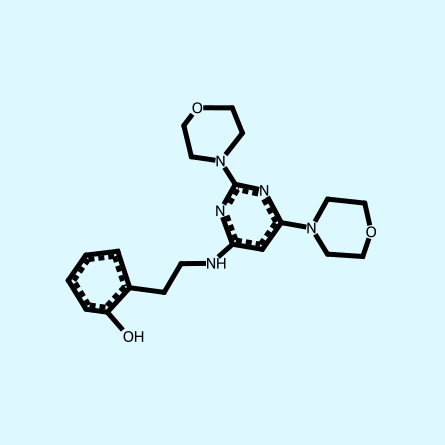 Oc1ccccc1CCNc1cc(N2CCOCC2)nc(N2CCOCC2)n1